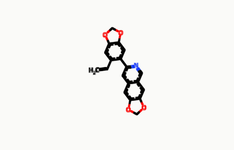 C=Cc1cc2c(cc1-c1cc3cc4c(cc3cn1)OCO4)OCO2